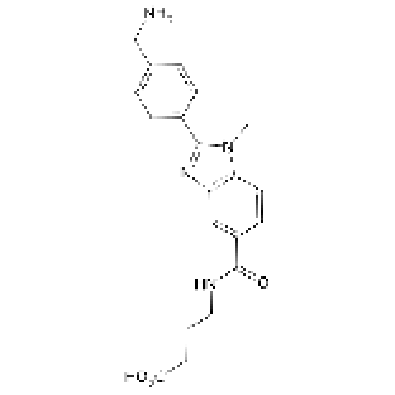 Cn1c(-c2ccc(CN)cc2)nc2cc(C(=O)NCCCC(=O)O)ccc21